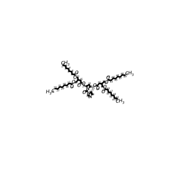 CCCCCCCCC(=O)OCC(COC(=O)CCCCCCCC)CC(=O)OC[C@@H]1C[C@H](COC(=O)CC(COC(=O)CCCCCCCC)COC(=O)CCCCCCCC)N1C(=O)n1ccnc1